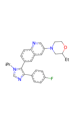 CCC1CN(c2cnc3ccc(-c4c(-c5ccc(F)cc5)ncn4C(C)C)cc3c2)CCO1